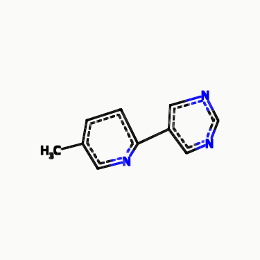 Cc1ccc(-c2cncnc2)nc1